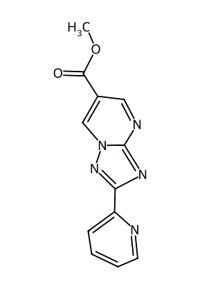 COC(=O)c1cnc2nc(-c3ccccn3)nn2c1